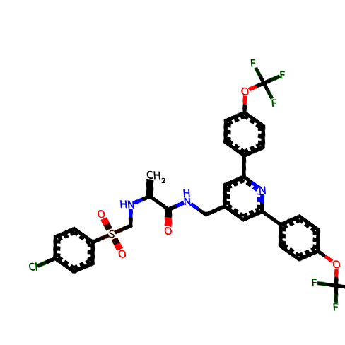 C=C(NCS(=O)(=O)c1ccc(Cl)cc1)C(=O)NCc1cc(-c2ccc(OC(F)(F)F)cc2)nc(-c2ccc(OC(F)(F)F)cc2)c1